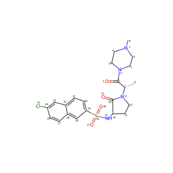 C[C@@H](C(=O)N1CCN(C)CC1)N1CCC(NS(=O)(=O)c2ccc3cc(Cl)ccc3c2)C1=O